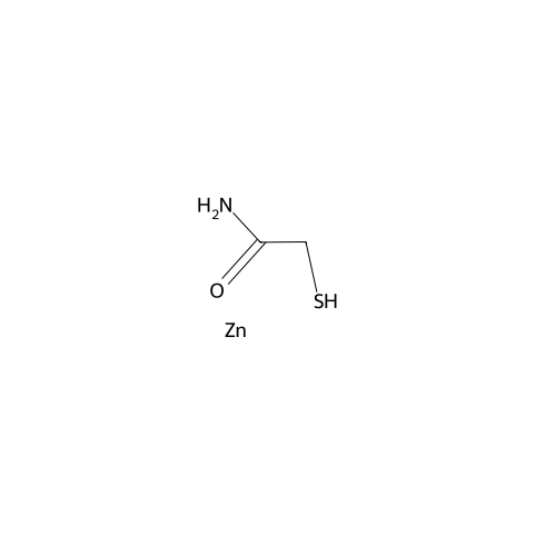 NC(=O)CS.[Zn]